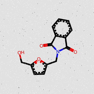 O=C1c2ccccc2C(=O)N1Cc1ccc(CO)o1